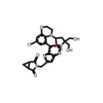 O=C1C2CC2C(=O)N1Cc1cc2nccc(-c3cc(Cl)cc4c3N(C3CNC(CO)(CO)C3)CCO4)c2s1